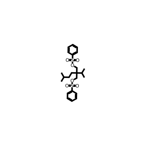 CC(C)CCC(COS(=O)(=O)c1ccccc1)(COS(=O)(=O)c1ccccc1)C(C)C